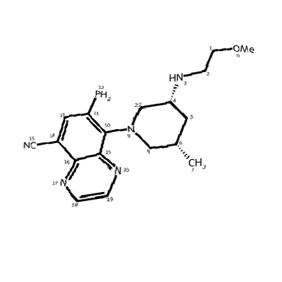 COCCN[C@@H]1C[C@H](C)CN(c2c(P)cc(C#N)c3nccnc23)C1